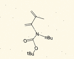 C=C(C)C(=C)N(CCCC)C(=O)OC(C)(C)C